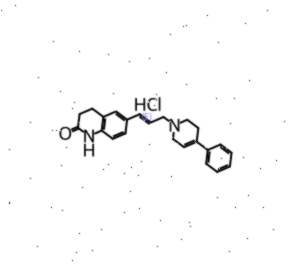 Cl.O=C1CCc2cc(/C=C/CN3CC=C(c4ccccc4)CC3)ccc2N1